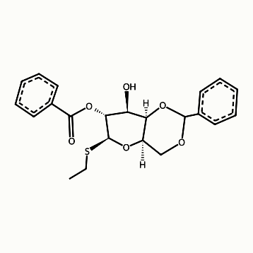 CCS[C@@H]1O[C@@H]2COC(c3ccccc3)O[C@@H]2[C@H](O)[C@H]1OC(=O)c1ccccc1